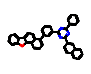 c1ccc(-c2nc(-c3cccc(-c4cccc5c4ccc4c6ccccc6oc54)c3)nc(-c3ccc4ccccc4c3)n2)cc1